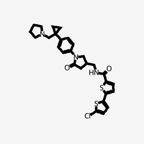 O=C(NCC1CC(=O)N(c2ccc(C3(CN4CCCC4)CC3)cc2)C1)c1ccc(-c2ccc(Cl)s2)s1